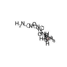 CC1(C)[C@@H]2CC[C@@H](CNC(=O)c3cccc4nc(CC(=O)N5CCC(CN)CC5)cn34)[C@@H]1C2